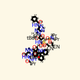 CC(C)C(=O)Nc1nc2c(ncn2[C@@H]2O[C@H](COP(=S)(N[C@H]3[C@@H](O[Si](C)(C)C(C)(C)C)[C@H](n4cnc5c(NC(=O)c6ccccc6)ncnc54)O[C@@H]3COP(OCCC#N)N(C(C)C)C(C)C)OCCC#N)[C@@H](NC(c3ccccc3)(c3ccccc3)c3ccccc3)[C@H]2O[Si](C)(C)C(C)(C)C)c(=O)[nH]1